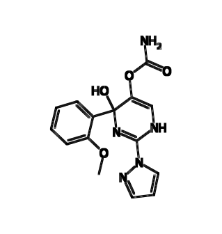 COc1ccccc1C1(O)N=C(n2cccn2)NC=C1OC(N)=O